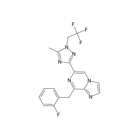 Cc1nc(-c2cn3ccnc3c(Cc3ccccc3F)n2)nn1CC(F)(F)F